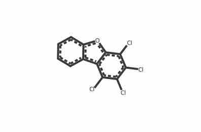 Clc1c(Cl)c(Cl)c2c(oc3ccccc32)c1Cl